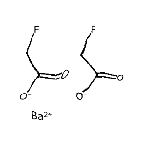 O=C([O-])CF.O=C([O-])CF.[Ba+2]